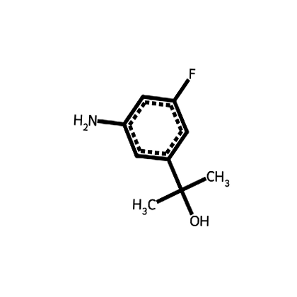 CC(C)(O)c1cc(N)cc(F)c1